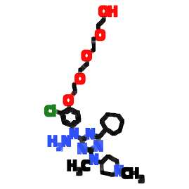 CN1CCC(N(C)c2nc(C3CCCCCC3)nc(N(N)c3ccc(OCCOCCOCCOCCO)c(Cl)c3)n2)CC1